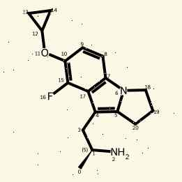 C[C@H](N)Cc1c2n(c3ccc(OC4CC4)c(F)c13)CCC2